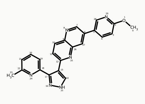 COc1ccc(-c2cnc3ccc(-c4c[nH]nc4-c4cccc(C)n4)nc3c2)cn1